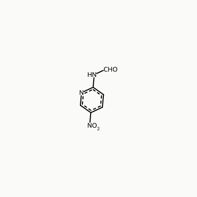 O=CNc1ccc([N+](=O)[O-])cn1